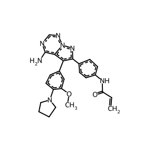 C=CC(=O)Nc1ccc(-c2nn3ncnc(N)c3c2-c2ccc(N3CCCC3)c(OC)c2)cc1